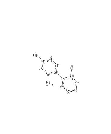 Nc1nc(S)ncc1-c1ccccc1Cl